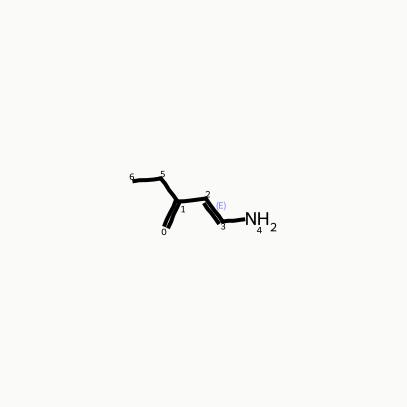 C=C(/C=C/N)CC